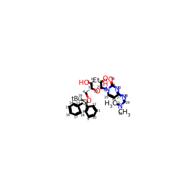 CC[C@@H](O)[C@@H](CO[Si](c1ccccc1)(c1ccccc1)C(C)(C)C)OC(CO)n1ccc(/N=C\N(C)C)nc1=O